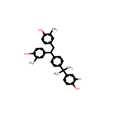 Cc1cc(CC(c2ccc(C(C)(C)c3ccc(O)c(F)c3)cc2)c2ccc(O)c(C)c2)ccc1O